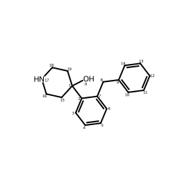 OC1(c2ccccc2Cc2ccccc2)CCNCC1